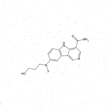 NC(=O)c1cncc2c1[nH]c1ccc(N(F)CCCO)cc12